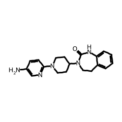 Nc1ccc(N2CCC(N3CCc4ccccc4NC3=O)CC2)nc1